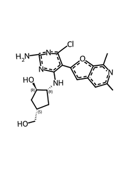 Cc1cc2cc(-c3c(Cl)nc(N)nc3N[C@@H]3C[C@H](CO)C[C@H]3O)oc2c(C)n1